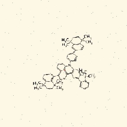 CC1(C)CCC(C)(C)c2cc(-c3ccc(N(c4ccccc4)c4cc5c(cc4-c4ccc(-c6cccc7c6C(C)(C)CCC7(C)C)cc4)-c4ccccc4C5(C)C)cc3)ccc21